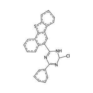 ClC1N=C(c2ccccc2)N=C(c2cc3c4ccccc4sc3c3ccccc23)N1